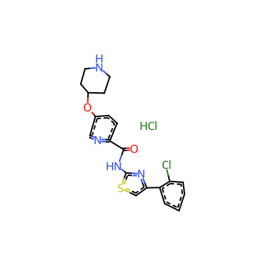 Cl.O=C(Nc1nc(-c2ccccc2Cl)cs1)c1ccc(OC2CCNCC2)cn1